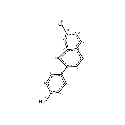 Cc1ccc(-c2ccc3cnc(Cl)nc3c2)cc1